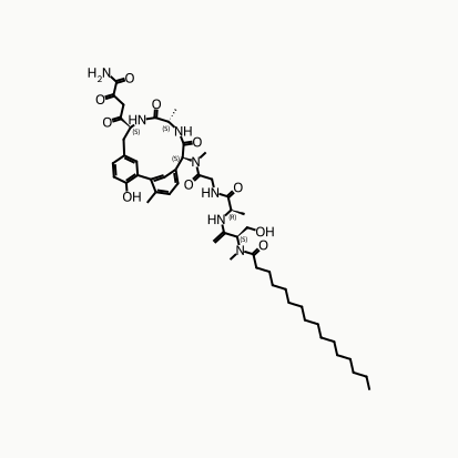 C=C(N[C@H](C)C(=O)NCC(=O)N(C)[C@@H]1C(=O)N[C@@H](C)C(=O)N[C@H](C(=O)CC(=O)C(N)=O)Cc2ccc(O)c(c2)-c2cc1ccc2C)[C@@H](CO)N(C)C(=O)CCCCCCCCCCCCCCC